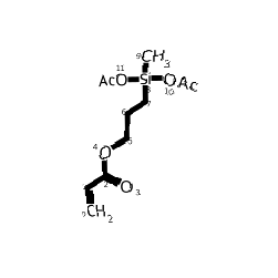 C=CC(=O)OCCC[Si](C)(OC(C)=O)OC(C)=O